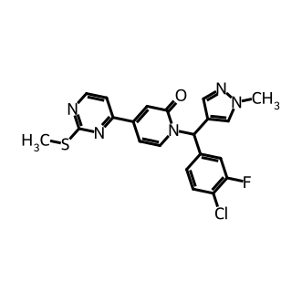 CSc1nccc(-c2ccn(C(c3ccc(Cl)c(F)c3)c3cnn(C)c3)c(=O)c2)n1